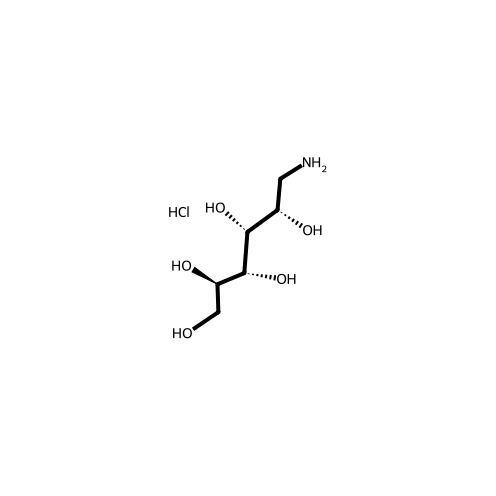 Cl.NC[C@H](O)[C@@H](O)[C@H](O)[C@H](O)CO